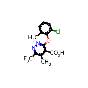 Cc1cccc(Cl)c1Oc1nnc(C(F)(F)F)c(C)c1C(=O)O